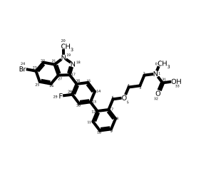 CN(CCCOCc1ccccc1-c1ccc(-c2nn(C)c3cc(Br)ccc23)c(F)c1)C(=O)O